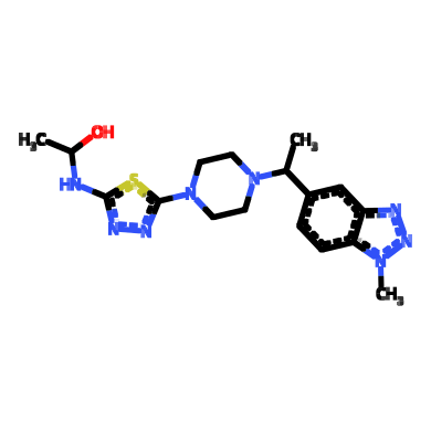 CC(O)Nc1nnc(N2CCN(C(C)c3ccc4c(c3)nnn4C)CC2)s1